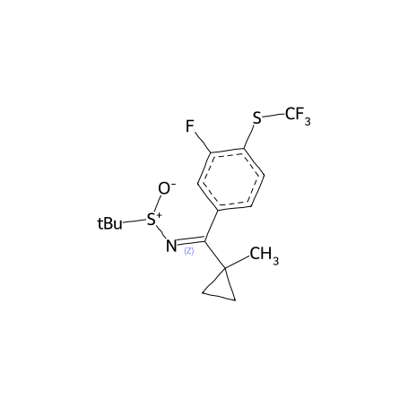 CC1(/C(=N/[S+]([O-])C(C)(C)C)c2ccc(SC(F)(F)F)c(F)c2)CC1